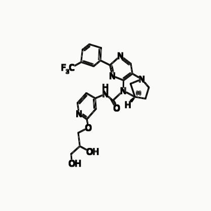 O=C(Nc1ccnc(OCC(O)CO)c1)N1c2nc(-c3cccc(C(F)(F)F)c3)ncc2N2CC[C@H]1C2